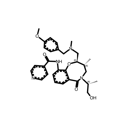 COc1ccc(CN(C)C[C@@H]2Oc3c(NC(=O)c4ccncc4)cccc3C(=O)N([C@H](C)CO)C[C@H]2C)cc1